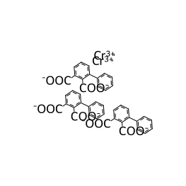 O=C([O-])c1cccc(-c2ccccc2)c1C(=O)[O-].O=C([O-])c1cccc(-c2ccccc2)c1C(=O)[O-].O=C([O-])c1cccc(-c2ccccc2)c1C(=O)[O-].[Cr+3].[Cr+3]